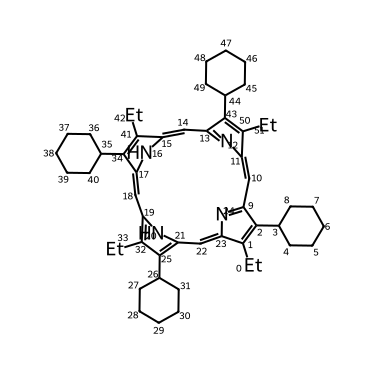 CCC1=C(C2CCCCC2)c2cc3nc(cc4[nH]c(cc5[nH]c(cc1n2)c(C1CCCCC1)c5CC)c(C1CCCCC1)c4CC)C(C1CCCCC1)=C3CC